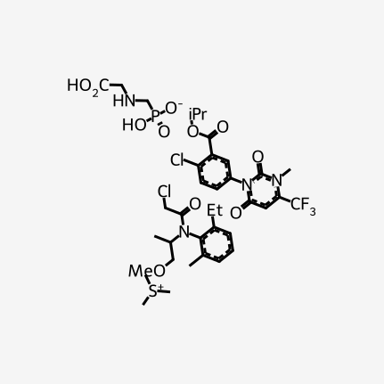 CC(C)OC(=O)c1cc(-n2c(=O)cc(C(F)(F)F)n(C)c2=O)ccc1Cl.CCc1cccc(C)c1N(C(=O)CCl)C(C)COC.C[S+](C)C.O=C(O)CNCP(=O)([O-])O